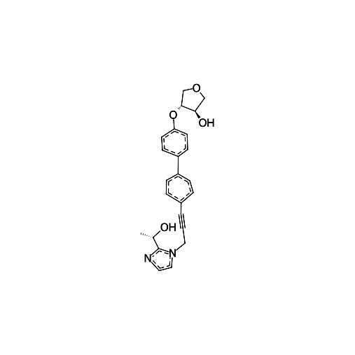 C[C@H](O)c1nccn1CC#Cc1ccc(-c2ccc(O[C@@H]3COC[C@H]3O)cc2)cc1